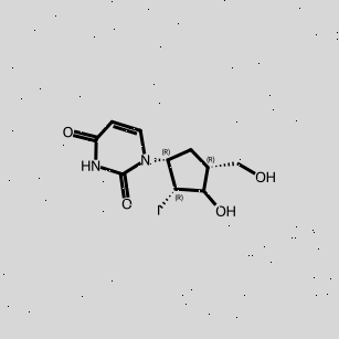 O=c1ccn([C@@H]2C[C@H](CO)C(O)[C@@H]2I)c(=O)[nH]1